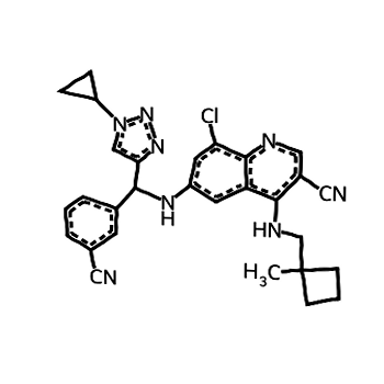 CC1(CNc2c(C#N)cnc3c(Cl)cc(NC(c4cccc(C#N)c4)c4cn(C5CC5)nn4)cc23)CCC1